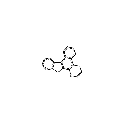 C1=COc2c3c(c4ccccc4c2C1)-c1ccccc1C3